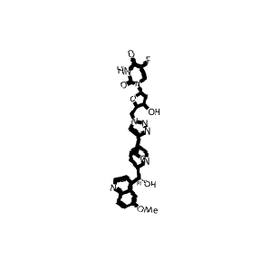 COc1ccc2nccc([C@@H](O)C3CC4CCN3CC4c3cn(CC4OC(n5cc(F)c(=O)[nH]c5=O)CC4O)nn3)c2c1